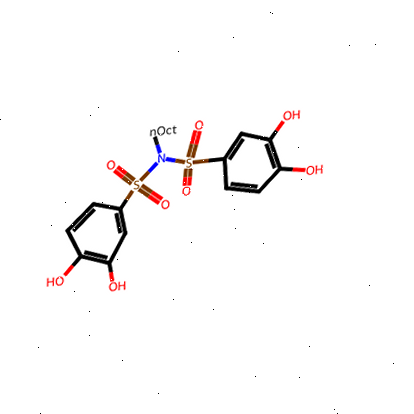 CCCCCCCCN(S(=O)(=O)c1ccc(O)c(O)c1)S(=O)(=O)c1ccc(O)c(O)c1